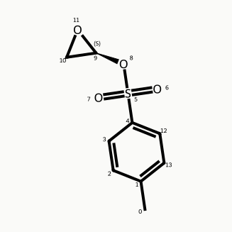 Cc1ccc(S(=O)(=O)O[C@H]2CO2)cc1